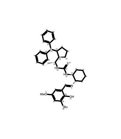 COc1cc(/C=N/[C@H]2CCCC[C@@H]2NC(=S)N[C@H](C)[C@@H]2CCCC2P(c2ccccc2)c2ccccc2)c(O)c(C(C)(C)C)c1